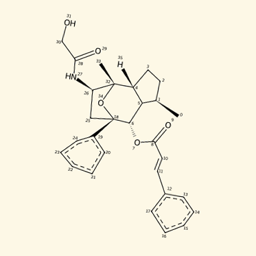 C[C@@H]1CC[C@@H]2C1[C@H](OC(=O)/C=C/c1ccccc1)[C@]1(c3ccccc3)C[C@@H](NC(=O)CO)[C@@]2(C)O1